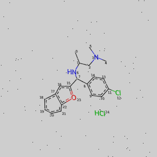 CC(CN(C)C)NC(c1ccc(Cl)cc1)c1cc2ccccc2o1.Cl